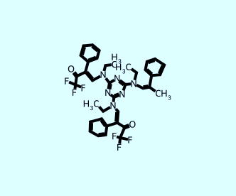 CCN(/C=C(/C)c1ccccc1)c1nc(N(/C=C(/C(=O)C(F)(F)F)c2ccccc2)CC)nc(N(/C=C(/C(=O)C(F)(F)F)c2ccccc2)CC)n1